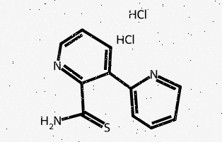 Cl.Cl.NC(=S)c1ncccc1-c1ccccn1